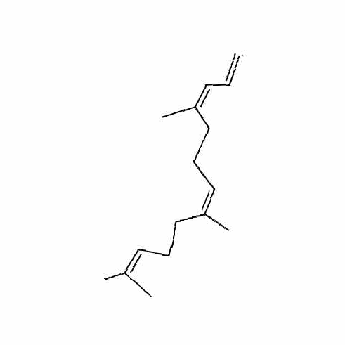 [CH]=CC=C(C)CCC=C(C)CCC=C(C)C